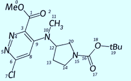 COC(=O)c1nnc(Cl)cc1N(C)C1CCN(C(=O)OC(C)(C)C)C1